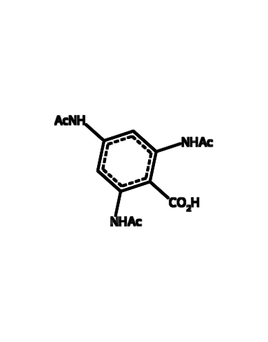 CC(=O)Nc1cc(NC(C)=O)c(C(=O)O)c(NC(C)=O)c1